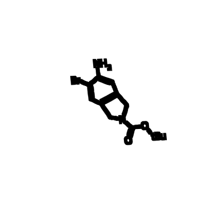 CC(C)(C)OC(=O)N1Cc2cc(N)c(Br)cc2C1